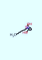 CCCCCCCCCCCC[N+]([O-])(CCO)c1ccccc1CCO